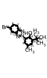 Cc1cc(-n2nc3ccc(Br)cc3n2)c(O)c(C(C)(C)C)c1